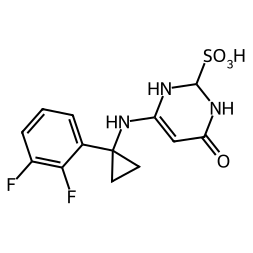 O=C1C=C(NC2(c3cccc(F)c3F)CC2)NC(S(=O)(=O)O)N1